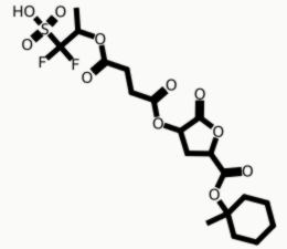 CC(OC(=O)CCC(=O)OC1CC(C(=O)OC2(C)CCCCC2)OC1=O)C(F)(F)S(=O)(=O)O